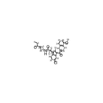 C=CC(=O)N1CC(NC(=O)C(C)(C)n2c(C)c(C(=O)N3CCc4c(cccc4OC)C3)c3cc(Cl)ccc32)C1